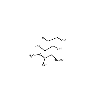 Br.COC(O)CO.OCCO.OCCO